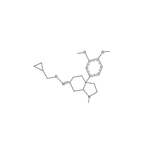 COc1ccc(C23CCC(=NOCC4CC4)CC2N(C)CC3)cc1OC